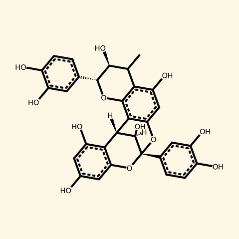 CC1c2c(O)cc3c(c2O[C@H](c2ccc(O)c(O)c2)[C@H]1O)[C@H]1c2c(O)cc(O)cc2O[C@@](c2ccc(O)c(O)c2)(O3)[C@@H]1O